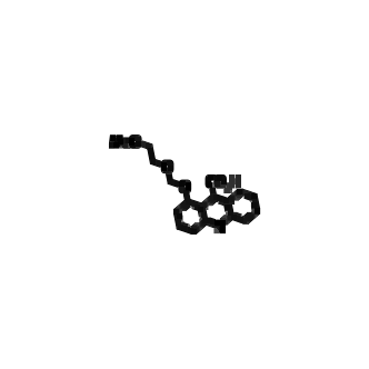 COCCOCOc1cccc2nc3ccccc3c(C(=O)O)c12